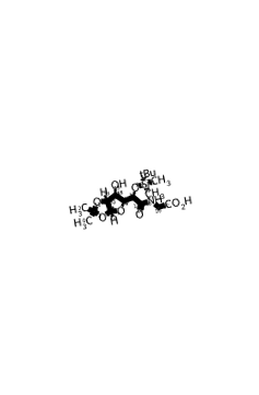 CC1(C)O[C@H]2O[C@H]([C@@H](O[Si](C)(C)C(C)(C)C)C(=O)NCC(=O)O)[C@H](O)[C@H]2O1